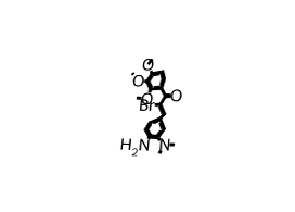 COc1ccc(C(=O)C(Br)=Cc2ccc(N)c(N(C)C)c2)c(OC)c1OC